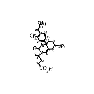 C=C(CCC(=O)O)N1C=C2CC(C(C)C)CC[C@@]2(c2ccc(CCC(C)(C)C)c(Cl)c2)NC1=O